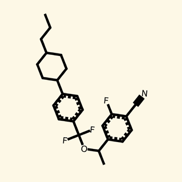 CCCC1CCC(c2ccc(C(F)(F)OC(C)c3ccc(C#N)c(F)c3)cc2)CC1